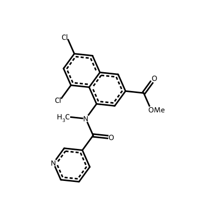 COC(=O)c1cc(N(C)C(=O)c2cccnc2)c2c(Cl)cc(Cl)cc2c1